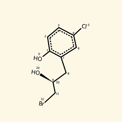 Oc1ccc(Cl)cc1C[C@H](O)CBr